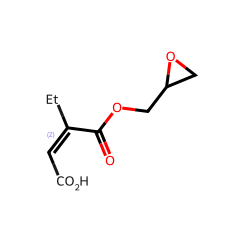 CC/C(=C/C(=O)O)C(=O)OCC1CO1